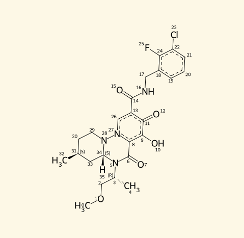 COC[C@@H](C)N1C(=O)c2c(O)c(=O)c(C(=O)NCc3cccc(Cl)c3F)cn2N2CC[C@H](C)C[C@@H]12